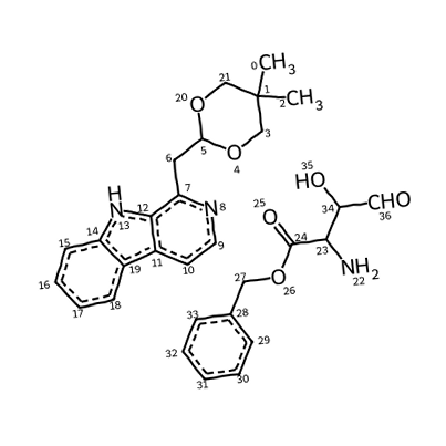 CC1(C)COC(Cc2nccc3c2[nH]c2ccccc23)OC1.NC(C(=O)OCc1ccccc1)C(O)C=O